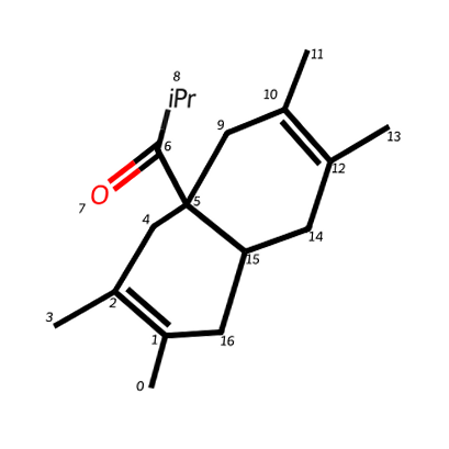 CC1=C(C)CC2(C(=O)C(C)C)CC(C)=C(C)CC2C1